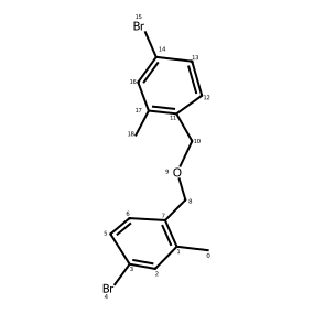 Cc1cc(Br)ccc1COCc1ccc(Br)cc1C